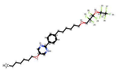 CCCCCCCOc1cnc(-c2ccc(CCCCCCOCC(F)(F)C(F)(F)OC(F)(F)C(F)(F)F)cc2)nc1